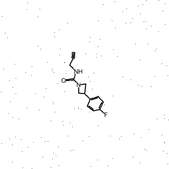 C#CCNC(=O)N1CC(c2ccc(F)cc2)C1